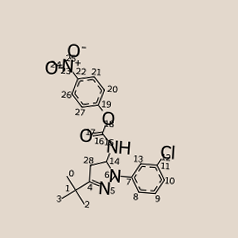 CC(C)(C)C1=NN(c2cccc(Cl)c2)C(NC(=O)Oc2ccc([N+](=O)[O-])cc2)C1